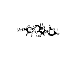 COC(=O)[C@H](C)NP1(=O)OC[C@H]2O[C@@H](n3ccc(=O)[nH]c3=S)C(C)(O)C2O1